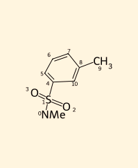 [CH2-][NH2+]S(=O)(=O)c1cccc(C)c1